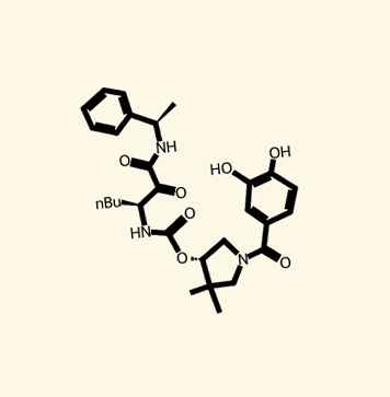 CCCC[C@H](NC(=O)O[C@@H]1CN(C(=O)c2ccc(O)c(O)c2)CC1(C)C)C(=O)C(=O)N[C@H](C)c1ccccc1